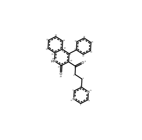 O=C(CCc1cnccn1)c1c(-c2ccccc2)c2ccccc2[nH]c1=O